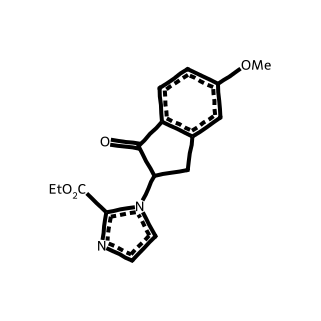 CCOC(=O)c1nccn1C1Cc2cc(OC)ccc2C1=O